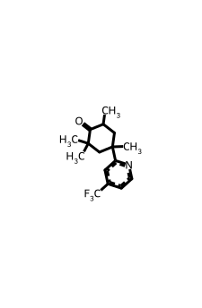 CC1CC(C)(c2cc(C(F)(F)F)ccn2)CC(C)(C)C1=O